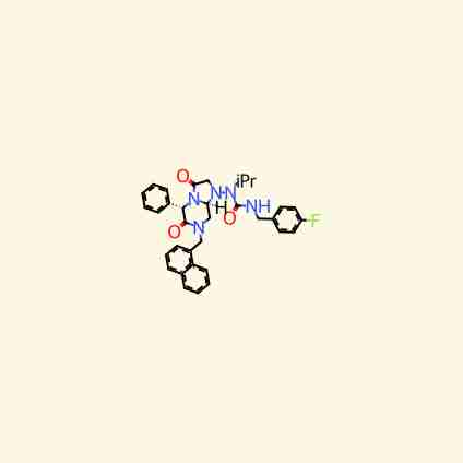 CC(C)N(C(=O)NCc1ccc(F)cc1)N1CC(=O)N2[C@@H](c3ccccc3)C(=O)N(Cc3cccc4ccccc34)C[C@@H]21